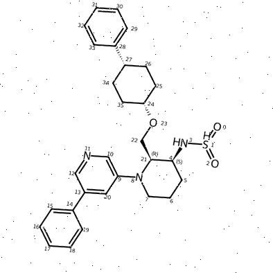 O=[SH](=O)N[C@H]1CCCN(c2cncc(-c3ccccc3)c2)[C@H]1CO[C@H]1CC[C@@H](c2ccccc2)CC1